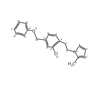 Cc1nccn1CCc1ccc(COc2cccnc2)cc1Cl